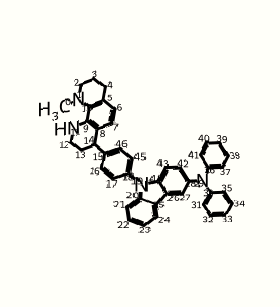 CN1CCCc2ccc3c(c21)NCCC3c1ccc(-n2c3ccccc3c3cc(N(c4ccccc4)c4ccccc4)ccc32)cc1